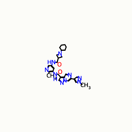 Cc1ncc(NC(=O)C2CN(C3CCCCC3)C2)cc1NC(=O)c1cnn2cc(-c3cnn(C)c3)ncc12